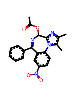 CC(=O)OC1N=C(c2ccccc2)c2cc([N+](=O)[O-])ccc2-n2c1nc(C)c2C